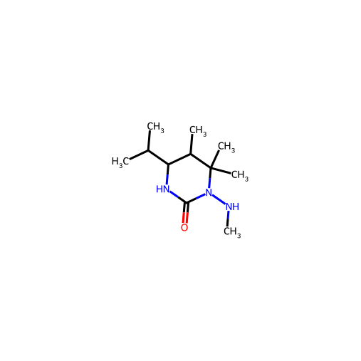 CNN1C(=O)NC(C(C)C)C(C)C1(C)C